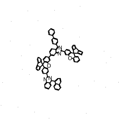 c1ccc(-c2ccc(-c3nc(-c4ccc5c(c4)Oc4ccccc4C54c5ccccc5-c5ccccc54)nc4cc(-c5ccc6c(c5)Oc5cc(-c7nc(-c8cccc9ccccc89)c8ccccc8n7)ccc5C65c6ccccc6-c6ccccc65)ccc34)cc2)cc1